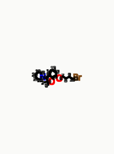 CC1(C)Oc2c(OCCCCBr)cccc2C1N1CCCCC1